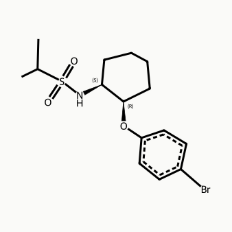 CC(C)S(=O)(=O)N[C@H]1CCCC[C@H]1Oc1ccc(Br)cc1